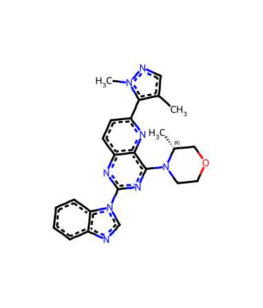 Cc1cnn(C)c1-c1ccc2nc(-n3cnc4ccccc43)nc(N3CCOC[C@H]3C)c2n1